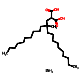 CCCCCCCCCCC(C)(CCCCCCCCCC)CC(C(=O)O)C(=O)O.[BaH2]